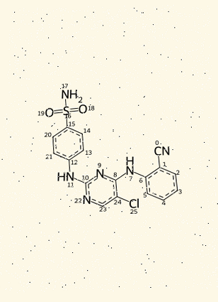 N#Cc1ccccc1Nc1nc(Nc2ccc(S(N)(=O)=O)cc2)ncc1Cl